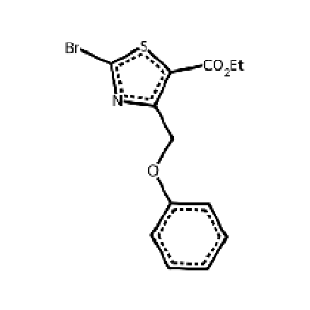 CCOC(=O)c1sc(Br)nc1COc1ccccc1